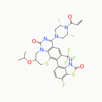 C=CC(=O)N1[C@H](C)CN(c2nc(=O)n3c4c(c(-c5ccc(F)c6sc(=O)[nH]c56)c(C(F)(F)F)cc24)SCC(OC(C)C)C3)C[C@@H]1C